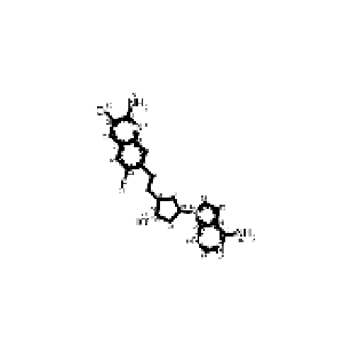 Nc1nc2cc(CCC3CC(n4ccc5c(N)ncnc54)C[C@@H]3O)c(F)cc2cc1Cl